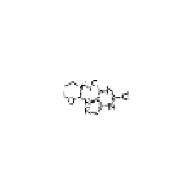 Cc1nc(Cl)nc2cnn(C3CCCCO3)c12